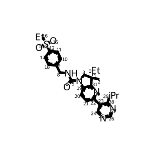 CC[C@@]1(C)CN(C(=O)NCc2ccc(S(=O)(=O)CC)cc2)c2ccc(-c3cncnc3C(C)C)nc21